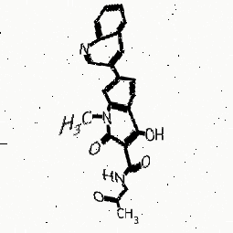 CC(=O)CNC(=O)c1c(O)c2ccc(-c3cnc4ccccc4c3)cc2n(C)c1=O